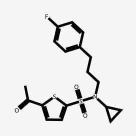 CC(=O)c1ccc(S(=O)(=O)N(CCCc2ccc(F)cc2)C2CC2)s1